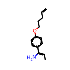 C=CCCCOc1ccc(/C(N)=C/C)cc1